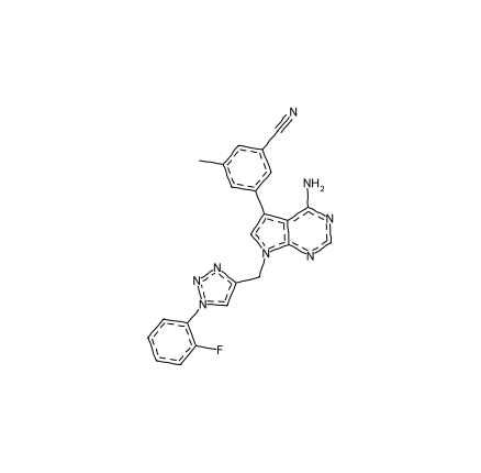 Cc1cc(C#N)cc(-c2cn(Cc3cn(-c4ccccc4F)nn3)c3ncnc(N)c23)c1